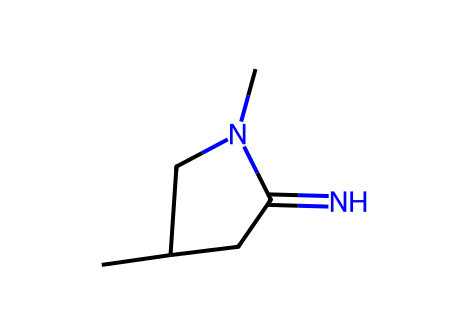 CC1CC(=N)N(C)C1